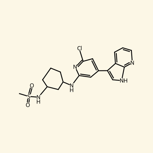 CS(=O)(=O)NC1CCCC(Nc2cc(-c3c[nH]c4ncccc34)cc(Cl)n2)C1